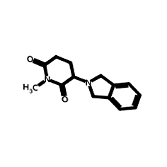 CN1C(=O)CCC(N2Cc3ccccc3C2)C1=O